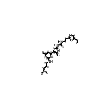 CCc1cnc(CCNC(=O)Nc2nc(C)c(-c3cc(C)nc(NCCCN(C)C)n3)s2)o1